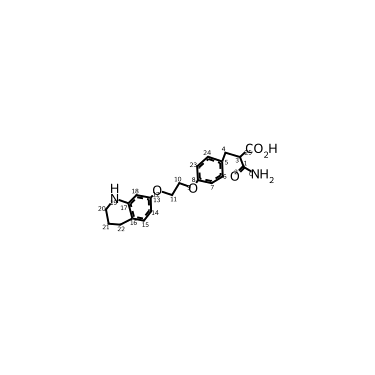 NC(=O)C(Cc1ccc(OCCOc2ccc3c(c2)NCCC3)cc1)C(=O)O